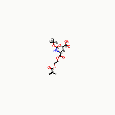 C=C(C)C(=O)OCCOC(=O)[C@H](CCC(=O)O)NC(=O)OC(C)(C)C